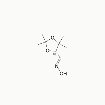 CC1(C)O[C@@H](C=NO)C(C)(C)O1